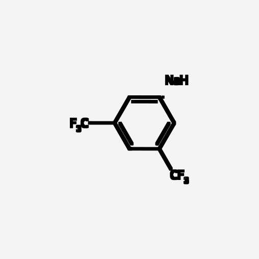 FC(F)(F)c1c[c]cc(C(F)(F)F)c1.[NaH]